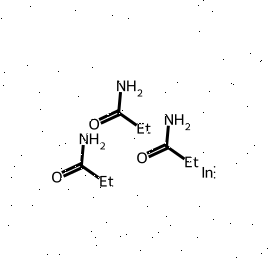 CCC(N)=O.CCC(N)=O.CCC(N)=O.[In]